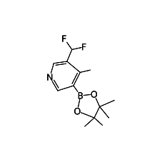 Cc1c(B2OC(C)(C)C(C)(C)O2)cncc1C(F)F